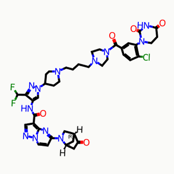 O=C1CCN(c2cc(C(=O)N3CCN(CCCCN4CCC(n5cc(NC(=O)c6cnn7ccc(N8C[C@H]9C[C@@H]8CC9=O)nc67)c(C(F)F)n5)CC4)CC3)ccc2Cl)C(=O)N1